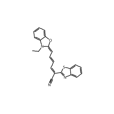 CCN1C(=CC=CC=C(C#N)c2nc3ccccc3s2)Oc2ccccc21